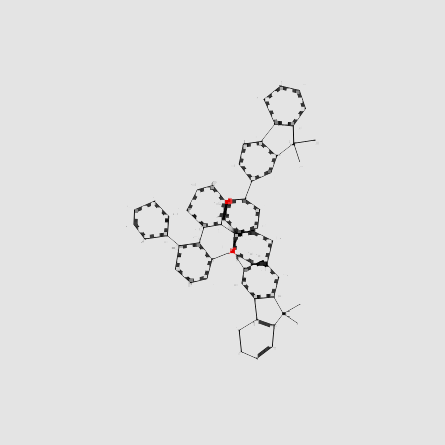 CC1(C)C2=C(CCC=C2)c2cc(N(c3ccc(-c4ccc5c(c4)C(C)(C)c4ccccc4-5)cc3)c3cccc(-c4ccccc4)c3-c3ccccc3-c3ccccc3)ccc21